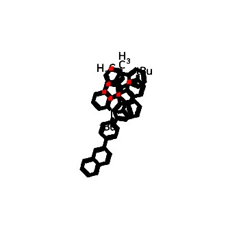 CC(C)(C)c1ccc2c(c1)C1(c3cc(C(C)(C)C)ccc3-2)c2ccccc2-c2cccc(N(c3ccc(-c4ccc5ccccc5c4)cc3)c3ccccc3-c3cccc4c3-c3ccccc3C4(C)C)c21